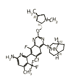 Cc1cc(N)nc(-c2c(Cl)cc3c(N4CC[C@H]5CC[C@@H](C4)N5)nc(OC[C@@H]4C[C@@H](C)CN4C)nc3c2F)c1C(F)(F)F